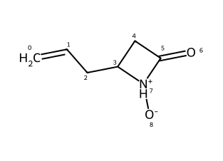 C=CCC1CC(=O)[NH+]1[O-]